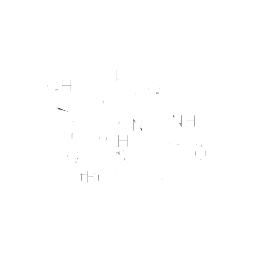 Cc1cn([C@]2(CI)O[C@H](CO)[C@@H](OC(C)(C)C)C2[SiH](C)C)c(=O)[nH]c1=O